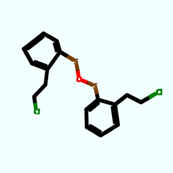 ClCCc1ccccc1SOSc1ccccc1CCCl